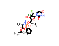 CC(C)OC(=O)[C@H](C)NP(=O)(Oc1ccccc1)O[C@H](C)[C@H]1O[C@@H](n2ccc(=O)[nH]c2=O)[C@@](Cl)(CF)C1O